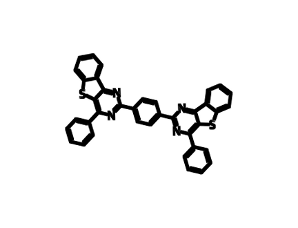 c1ccc(-c2nc(-c3ccc(-c4nc(-c5ccccc5)c5sc6ccccc6c5n4)cc3)nc3c2sc2ccccc23)cc1